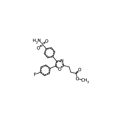 COC(=O)CCc1nc(-c2ccc(S(N)(=O)=O)cc2)c(-c2ccc(F)cc2)o1